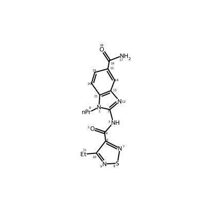 CCCn1c(NC(=O)c2nsnc2CC)nc2cc(C(N)=O)ccc21